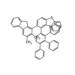 Cc1cc2c(c(-c3ccc4sc5ccccc5c4c3-c3ccc(-c4ccccc4)c(-c4ccccc4)c3-c3ccnnn3)c1C)Cc1ccccc1-2